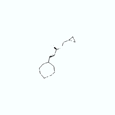 O=C(C=CC1CCCCCCC1)OCC1CC1